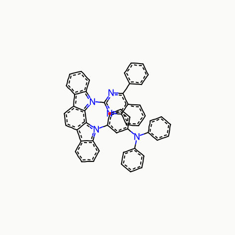 c1ccc(-c2nc(-n3c4ccccc4c4ccc5c6ccccc6n(-c6cccc(N(c7ccccc7)c7ccccc7)c6)c5c43)nc3ccccc23)cc1